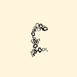 Cc1ccc(-c2cc(C(F)(F)F)nn2-c2ccc(S(=O)(=O)NC(=O)OCC3CCN(N=NOC(C)OC(=O)c4ccccc4)CC3)cc2)cc1